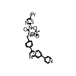 CC(C)c1cnc(N(OS(C)(=O)=O)C(=O)NCc2ccc(-c3cnc4cc(-c5ccncc5)ccn34)cc2)s1